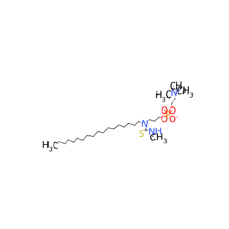 CCCCCCCCCCCCCCCCCCN(CCCOP(=O)([O-])OCC[N+](C)(C)C)C(=S)NC